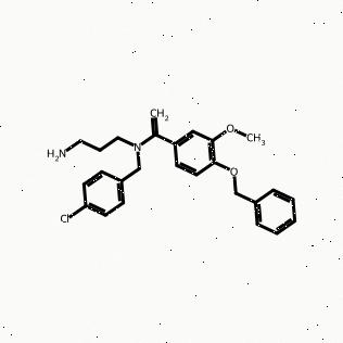 C=C(c1ccc(OCc2ccccc2)c(OC)c1)N(CCCN)Cc1ccc(Cl)cc1